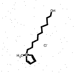 C[N+]1(CCCCCCCCCCO)C=CC=C1.[Cl-]